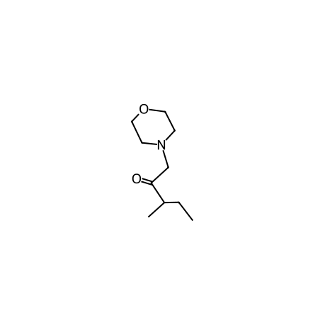 CCC(C)C(=O)CN1CCOCC1